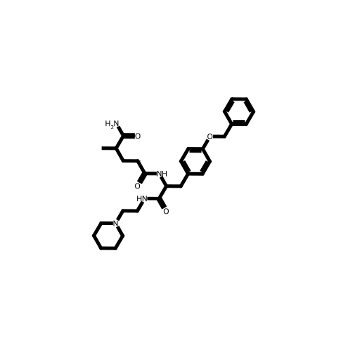 CC(C[CH]C(=O)NC(Cc1ccc(OCc2ccccc2)cc1)C(=O)NCCN1CCCCC1)C(N)=O